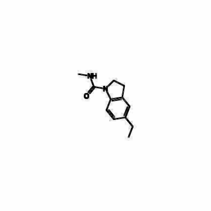 CCc1ccc2c(c1)CCN2C(=O)NC